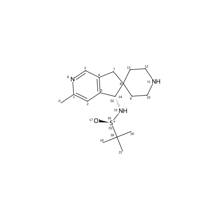 Cc1cc2c(cn1)CC1(CCNCC1)[C@@H]2N[S@+]([O-])C(C)(C)C